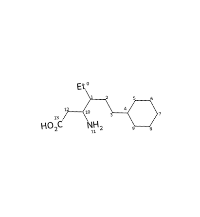 CCC(CCC1CCCCC1)C(N)CC(=O)O